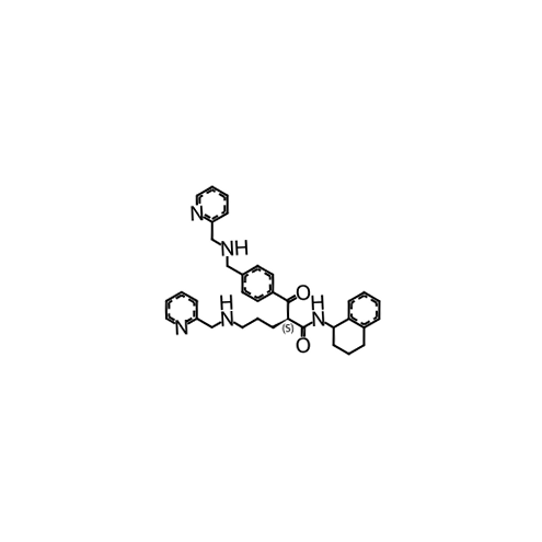 O=C(NC1CCCc2ccccc21)[C@@H](CCCNCc1ccccn1)C(=O)c1ccc(CNCc2ccccn2)cc1